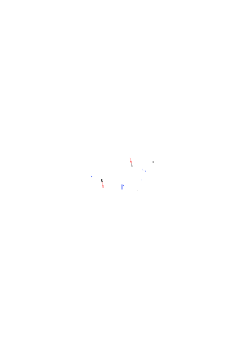 CNC(=O)CC(NC(C)(C)C)C(=O)NC(C)(C)C